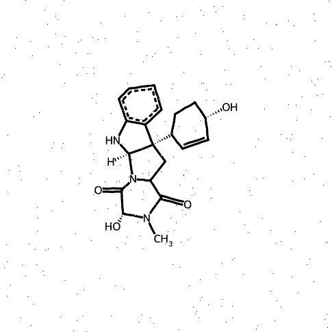 CN1C(=O)C2C[C@]3(C4C=C[C@@H](O)CC4)c4ccccc4N[C@@H]3N2C(=O)[C@H]1O